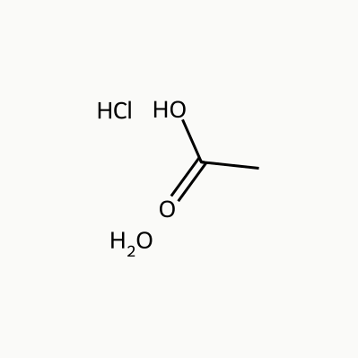 CC(=O)O.Cl.O